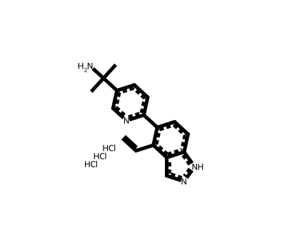 C=Cc1c(-c2ccc(C(C)(C)N)cn2)ccc2[nH]ncc12.Cl.Cl.Cl